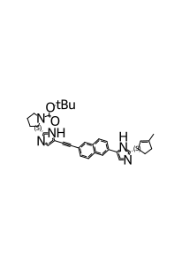 CC1=C[C@@H](c2ncc(-c3ccc4cc(C#Cc5cnc([C@@H]6CCCN6C(=O)OC(C)(C)C)[nH]5)ccc4c3)[nH]2)CC1